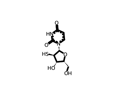 O=c1ccn([C@@H]2O[C@H](CO)[C@H](O)[C@H]2S)c(=O)[nH]1